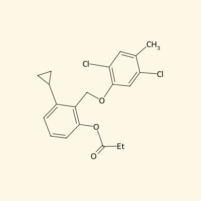 CCC(=O)Oc1cccc(C2CC2)c1COc1cc(Cl)c(C)cc1Cl